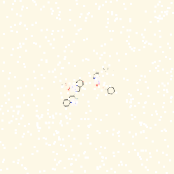 CO[C@@H]1C[C@@H](COc2ccc3c(c2)cc(-c2cc4ccccc4nc2Cl)n3C(=O)OC(C)(C)C)N(C(=O)OCc2ccccc2)C1